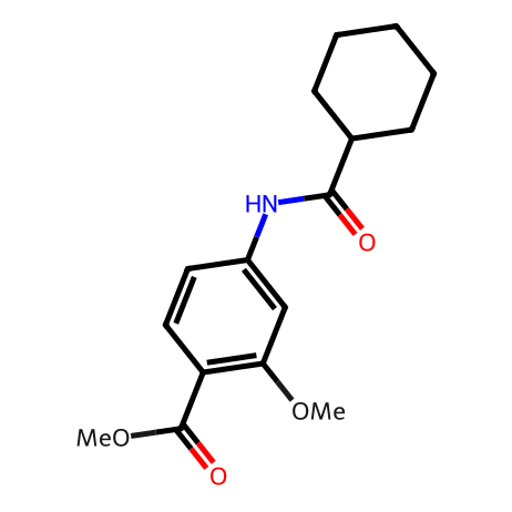 COC(=O)c1ccc(NC(=O)C2CCCCC2)cc1OC